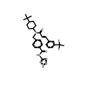 CC(C)(C)C1CCC(N(Cc2ccc(C(=O)Nc3nn[nH]n3)cc2)C(=O)/C=C/c2cccc(C(F)(F)F)c2)CC1